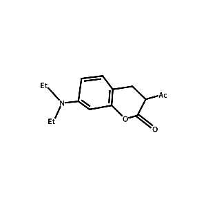 CCN(CC)c1ccc2c(c1)OC(=O)C(C(C)=O)C2